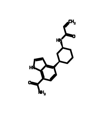 C=CC(=O)N[C@H]1CCC[C@@H](c2ccc(C(N)=O)c3[nH]ccc23)C1